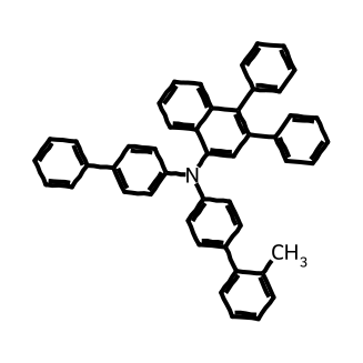 Cc1ccccc1-c1ccc(N(c2ccc(-c3ccccc3)cc2)c2cc(-c3ccccc3)c(-c3ccccc3)c3ccccc23)cc1